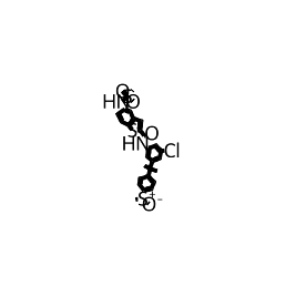 C[S+]([O-])c1ccc(C(C)(C)c2cc(Cl)cc(NC(=O)c3cc4cc(NS(C)(=O)=O)ccc4s3)c2)cc1